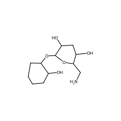 NCC1OC(OC2CCCCC2O)C(O)CC1O